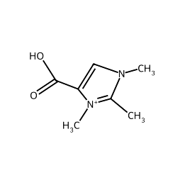 Cc1n(C)cc(C(=O)O)[n+]1C